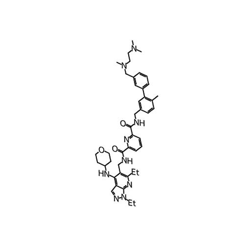 CCc1nc2c(cnn2CC)c(NC2CCOCC2)c1CNC(=O)c1cccc(C(=O)NCc2ccc(C)c(-c3cccc(CN(C)CCN(C)C)c3)c2)n1